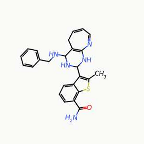 Cc1sc2c(C(N)=O)cccc2c1C1NC2=C(CC=CC=N2)C(NCc2ccccc2)N1